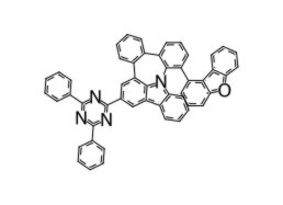 c1ccc(-c2nc(-c3ccccc3)nc(-c3cc4c5c(c3)c3ccccc3n5-c3c(cccc3-c3cccc5oc6ccccc6c35)-c3ccccc3-4)n2)cc1